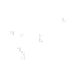 N#Cc1ccc2c(c1)CCCCC2Nc1ccc2[nH]nc(-c3cnco3)c2c1